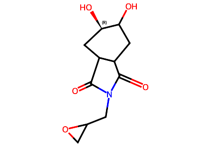 O=C1C2CC(O)[C@H](O)CC2C(=O)N1CC1CO1